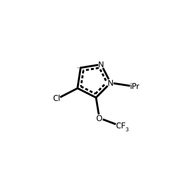 CC(C)n1n[c]c(Cl)c1OC(F)(F)F